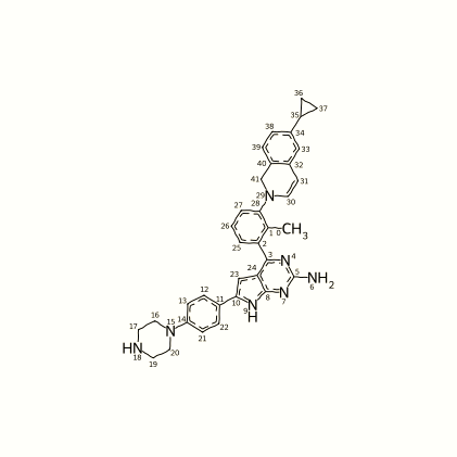 Cc1c(-c2nc(N)nc3[nH]c(-c4ccc(N5CCNCC5)cc4)cc23)cccc1N1C=Cc2cc(C3CC3)ccc2C1